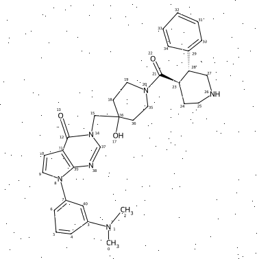 CN(C)c1cccc(-n2ccc3c(=O)n(CC4(O)CCN(C(=O)[C@@H]5CCNC[C@H]5c5ccccc5)CC4)cnc32)c1